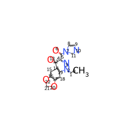 CCn1nc(C(=O)n2ccnc2)c(=O)c2cc3c(cc21)OCO3